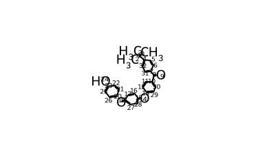 CC(C)(C)c1ccc(C(=O)c2ccc(Oc3ccc(Oc4ccc(O)cc4)cc3)cc2)cc1